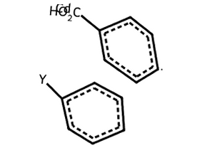 O=C(O)c1cc[c]cc1.[Cd].[Y][c]1ccccc1